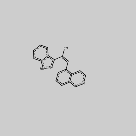 N#CC(=Cc1cccc2cnccc12)c1n[nH]c2ccccc12